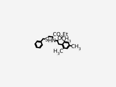 CCOC(=O)[C@H](CSCc1ccccc1)NC(=O)Cc1c(C)cc(C)cc1C